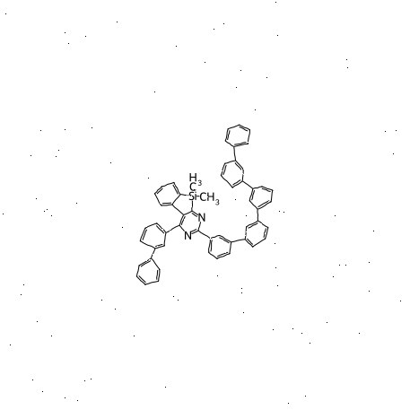 C[Si]1(C)c2ccccc2-c2c(-c3cccc(-c4ccccc4)c3)nc(-c3cccc(-c4cccc(-c5cccc(-c6cccc(-c7ccccc7)c6)c5)c4)c3)nc21